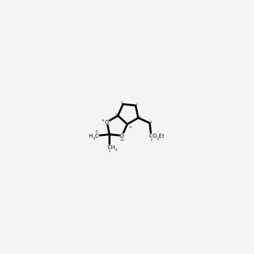 CCOC(=O)CC1CCC2OC(C)(C)OC12